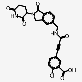 O=C(C#Cc1ccc(Cl)c(C(=O)O)c1)NCc1ccc2c(c1)CN(C1CCC(=O)NC1=O)C2=O